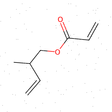 C=CC(=O)OCC(C)C=C